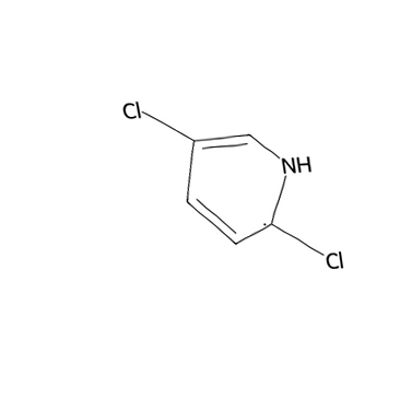 Cl[C]1C=CC(Cl)=CN1